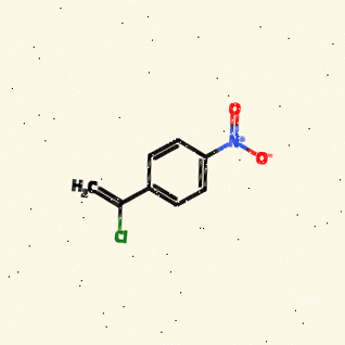 C=C(Cl)c1ccc([N+](=O)[O-])cc1